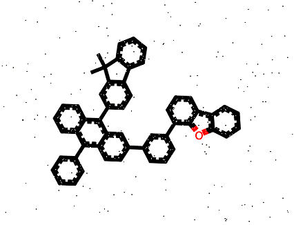 CC1(C)c2ccccc2-c2ccc(-c3c4ccccc4c(-c4ccccc4)c4ccc(-c5cccc(-c6cccc7c6oc6ccccc67)c5)cc34)cc21